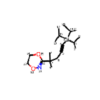 CC(C)[Si](C#CCC(C)(C)C1=NOCCO1)(C(C)C)C(C)C